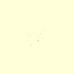 CNc1cc(Nc2cccc(N3CCO[C@]4(CCOC4)C3)n2)cc2c(C(=O)NC3CC3)cnn12